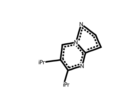 CC(C)c1cn2nccc2nc1C(C)C